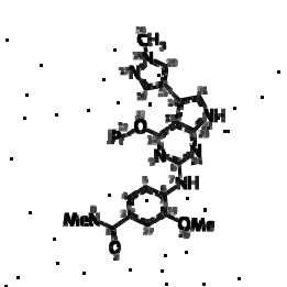 CNC(=O)c1ccc(Nc2nc(OC(C)C)c3c(-c4cnn(C)c4)c[nH]c3n2)c(OC)c1